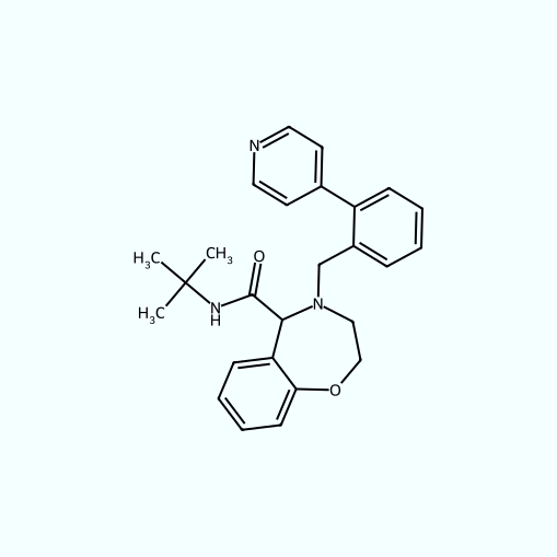 CC(C)(C)NC(=O)C1c2ccccc2OCCN1Cc1ccccc1-c1ccncc1